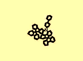 c1ccc(-c2ccc(N(c3ccc4c(c3)-c3ccccc3C4(c3ccccc3)c3ccccc3)c3cccc4c3-c3ccccc3C43c4ccccc4-c4ccccc43)cc2)cc1